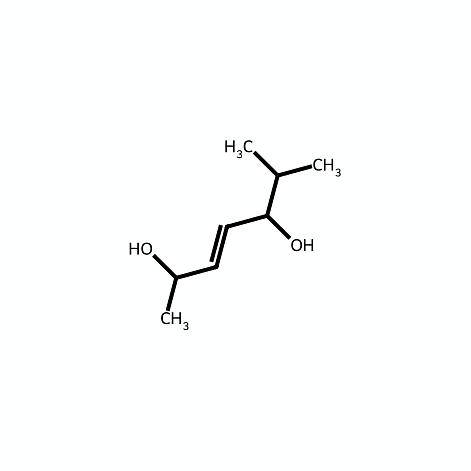 CC(O)C=CC(O)C(C)C